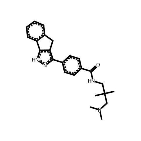 CN(C)CC(C)(C)CNC(=O)c1ccc(-c2n[nH]c3c2Cc2ccccc2-3)cc1